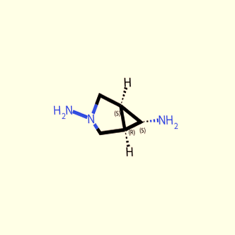 N[C@@H]1[C@H]2CN(N)C[C@@H]12